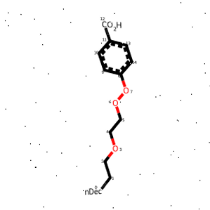 CCCCCCCCCCCCOCCOOc1ccc(C(=O)O)cc1